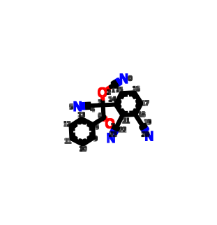 N#COC(C#N)(C(=O)c1ccccc1)c1cccc(C#N)c1C#N